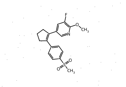 COc1ncc(C2=C(c3ccc(S(C)(=O)=O)cc3)CCC2)cc1F